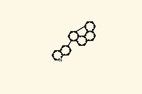 c1cnc2ccc(-c3ccc4c5c3ccc3ccc6cccc-4c6c35)cc2c1